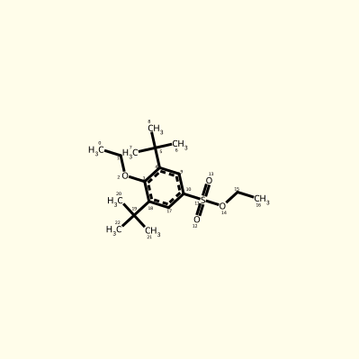 CCOc1c(C(C)(C)C)cc(S(=O)(=O)OCC)cc1C(C)(C)C